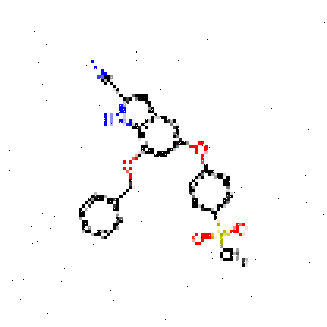 CS(=O)(=O)c1ccc(Oc2cc(OCc3ccccc3)c3[nH]c(C#N)cc3c2)cc1